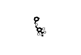 COC(=O)c1c(Cl)cc(COCc2ccccc2)cc1Cl